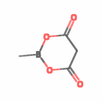 CB1OC(=O)CC(=O)O1